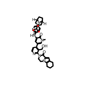 Cn1cc(-c2ccnc(N3CCn4c(cc5c4CCCC5)C3=O)c2CO)cc(Nc2ccc(N3[C@@H]4CC[C@H]3CN(C3COC3)C4)cn2)c1=O